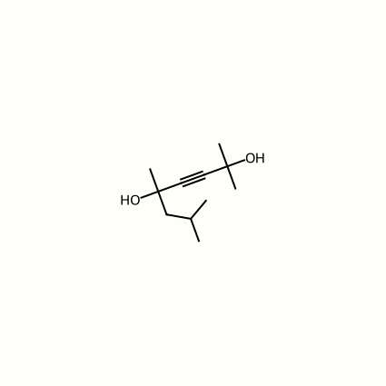 CC(C)CC(C)(O)C#CC(C)(C)O